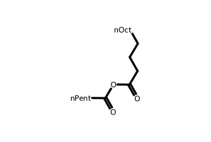 CCCCCCCCCCCC(=O)OC(=O)CCCCC